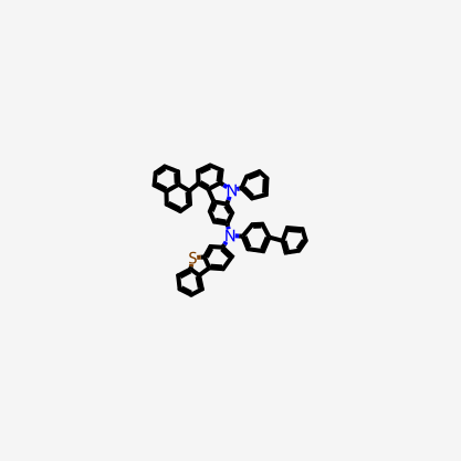 c1ccc(-c2ccc(N(c3ccc4c(c3)sc3ccccc34)c3ccc4c5c(-c6cccc7ccccc67)cccc5n(-c5ccccc5)c4c3)cc2)cc1